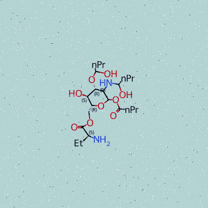 CCCC(=O)OC1O[C@H](COC(=O)[C@@H](N)CC)[C@@H](O)[C@H](OC(O)CCC)[C@H]1NC(O)CCC